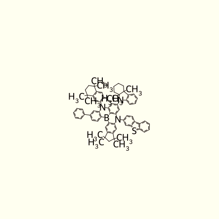 Cc1cc2c(cc1N1c3cc(-c4ccccc4)ccc3B3c4cc5c(cc4N(c4ccc6c(c4)sc4ccccc46)c4cc(N6c7ccccc7C7(C)CCCCC67C)cc1c43)C(C)(C)CC5(C)C)C(C)(C)CCC2(C)C